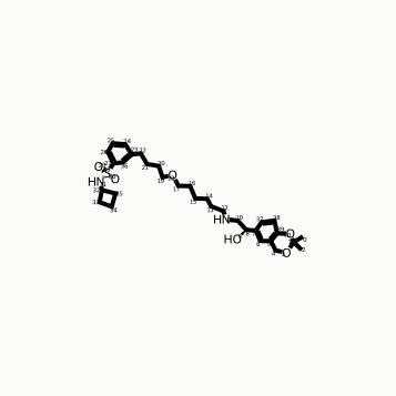 CC1(C)OCc2cc([C@@H](O)CNCCCCCCOCCCCc3cccc(S(=O)(=O)NC4CCC4)c3)ccc2O1